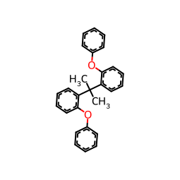 CC(C)(c1ccccc1Oc1ccccc1)c1ccccc1Oc1ccccc1